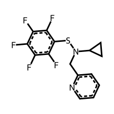 Fc1c(F)c(F)c(SN(Cc2ccccn2)C2CC2)c(F)c1F